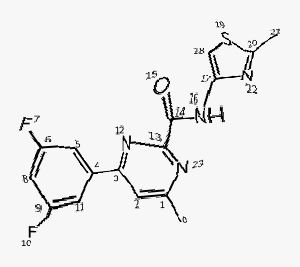 Cc1cc(-c2cc(F)cc(F)c2)nc(C(=O)Nc2csc(C)n2)n1